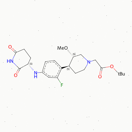 CO[C@@H]1CN(CC(=O)OC(C)(C)C)CC[C@H]1c1ccc(N[C@H]2CCC(=O)NC2=O)cc1F